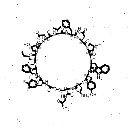 CCCC[C@H]1C(=O)N2C[C@H](O)C[C@@H]2C(=O)N[C@@H](CC(=O)O)C(=O)N[C@@H](C(C)C)C(=O)N(C)[C@@H](Cc2ccccc2)C(=O)N[C@@H](CC(=O)O)C(=O)N2C[C@H](O)C[C@H]2C(=O)N[C@@H](Cc2c[nH]c3ccccc23)C(=O)N[C@@H](Cc2ccc(O)cc2)C(=O)N[C@@H](CCN)C(=O)N[C@H](C(=O)NCC(N)=O)CSCC(=O)N[C@@H](Cc2cc(F)c(F)c(F)c2)C(=O)N(C)[C@@H](Cc2ccccc2)C(=O)N1C